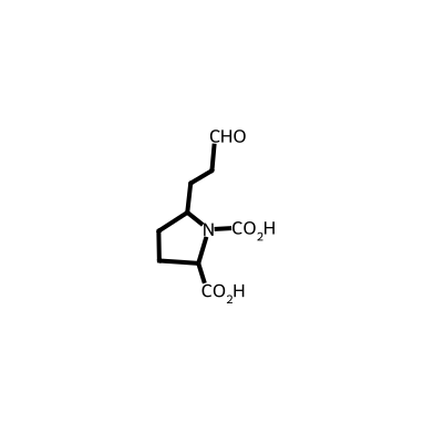 O=CCCC1CCC(C(=O)O)N1C(=O)O